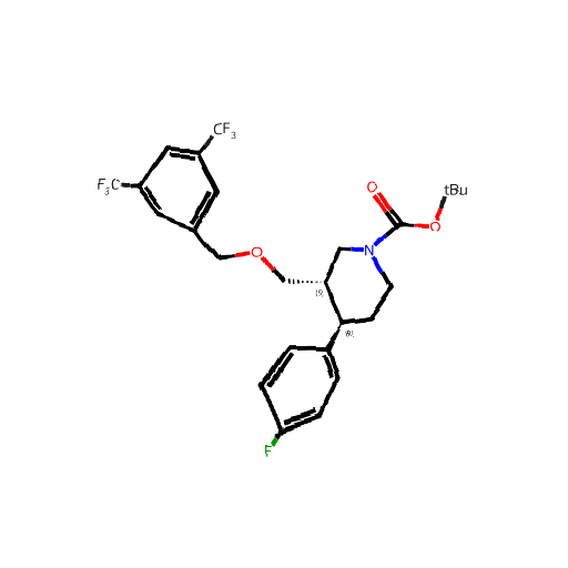 CC(C)(C)OC(=O)N1CC[C@@H](c2ccc(F)cc2)[C@H](COCc2cc(C(F)(F)F)cc(C(F)(F)F)c2)C1